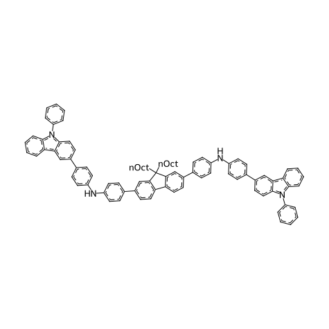 CCCCCCCCC1(CCCCCCCC)c2cc(-c3ccc(Nc4ccc(-c5ccc6c(c5)c5ccccc5n6-c5ccccc5)cc4)cc3)ccc2-c2ccc(-c3ccc(Nc4ccc(-c5ccc6c(c5)c5ccccc5n6-c5ccccc5)cc4)cc3)cc21